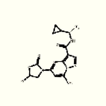 Cc1cc(N2CC(C(C)C)OC2=O)nc2c(C(=O)N[C@H](C3CC3)C(F)(F)F)cnn12